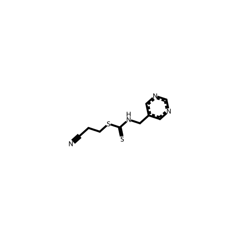 N#CCCSC(=S)NCc1cncnc1